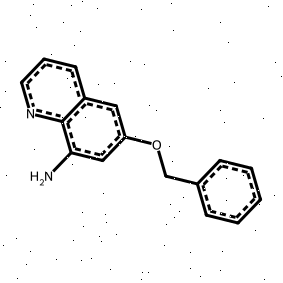 Nc1cc(OCc2ccccc2)cc2cccnc12